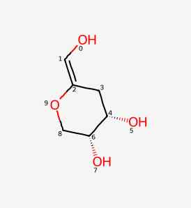 O/C=C1\C[C@H](O)[C@H](O)CO1